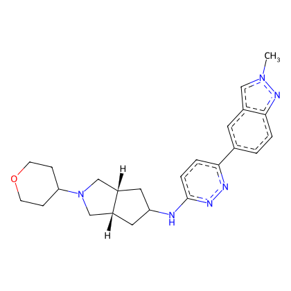 Cn1cc2cc(-c3ccc(NC4C[C@@H]5CN(C6CCOCC6)C[C@@H]5C4)nn3)ccc2n1